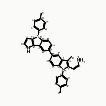 Cc1ccc(-n2c(/C=C\N)c(C)c3cc(-c4ccc5c(c4)c4[nH]ccc4n5-c4ccc(C)cc4)ccc32)cc1